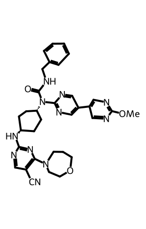 COc1ncc(-c2cnc(N(C(=O)NCc3ccccc3)[C@H]3CC[C@H](Nc4ncc(C#N)c(N5CCCOCC5)n4)CC3)nc2)cn1